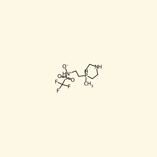 C[PH]1(CC[NH+]([O-])S(=O)(=O)C(F)(F)F)CCNCC1